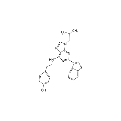 CC(C)Cn1cnc2c(NCCc3ccc(O)cc3)nc(-c3csc4ccccc34)nc21